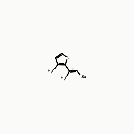 C/C(=C\C(C)(C)C)c1sccc1C